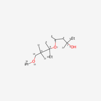 CCC(C)(O)CC(C)OC(C)(CC)C(C)(C)COC(C)C